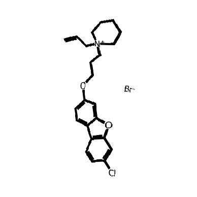 C=CC[N+]1(CCCOc2ccc3c(c2)oc2cc(Cl)ccc23)CCCCC1.[Br-]